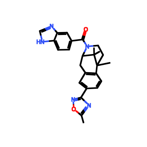 Cc1nc(-c2ccc3c(c2)CC2N(C(=O)c4ccc5[nH]cnc5c4)CCC3(C)C2(C)C)no1